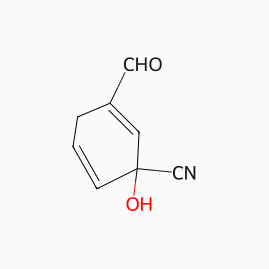 N#CC1(O)C=CCC(C=O)=C1